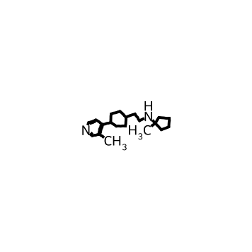 Cc1cnccc1C1CCC(CCNC2(C)CCCC2)CC1